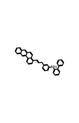 C(=C\c1cccc2c1ccc1cc3ccccc3cc12)/Cc1cccc(Nc2ccccc2-c2ccccc2)c1